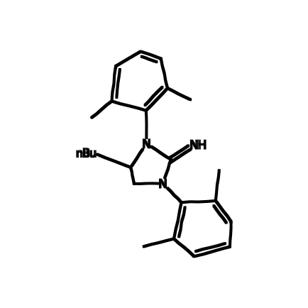 CCCCC1CN(c2c(C)cccc2C)C(=N)N1c1c(C)cccc1C